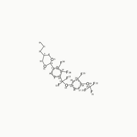 CCCC1COC(c2ccc(C(F)(F)Oc3ccc(OC(F)(F)F)c(F)c3)c(F)c2F)OC1